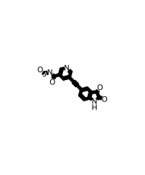 O=S=NC(=O)c1cncc(C#Cc2ccc3c(c2)C(=O)C(=O)N3)c1